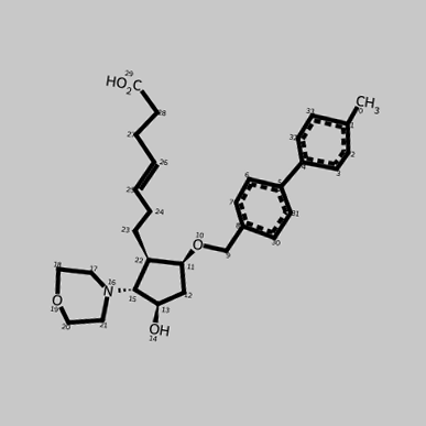 Cc1ccc(-c2ccc(CO[C@H]3C[C@@H](O)[C@H](N4CCOCC4)[C@H]3CC/C=C/CCC(=O)O)cc2)cc1